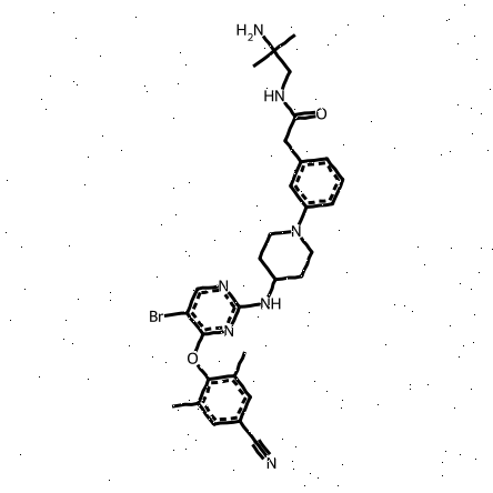 Cc1cc(C#N)cc(C)c1Oc1nc(NC2CCN(c3cccc(CC(=O)NCC(C)(C)N)c3)CC2)ncc1Br